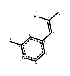 CC/C(C)=C\c1ccnc(C)c1